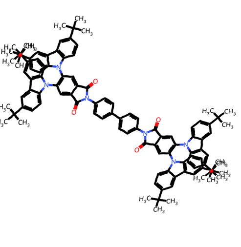 CC(C)(C)c1ccc2c(c1)c1cc(C(C)(C)C)ccc1n2-c1cc2c(cc1-n1c3ccc(C(C)(C)C)cc3c3cc(C(C)(C)C)ccc31)C(=O)N(c1ccc(-c3ccc(N4C(=O)c5cc(-n6c7ccc(C(C)(C)C)cc7c7cc(C(C)(C)C)ccc76)c(-n6c7ccc(C(C)(C)C)cc7c7cc(C(C)(C)C)ccc76)cc5C4=O)cc3)cc1)C2=O